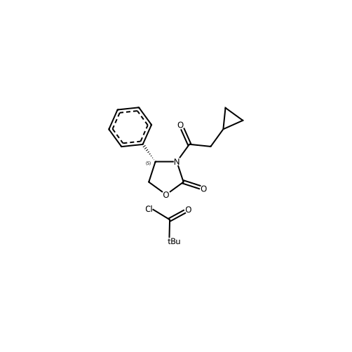 CC(C)(C)C(=O)Cl.O=C(CC1CC1)N1C(=O)OC[C@@H]1c1ccccc1